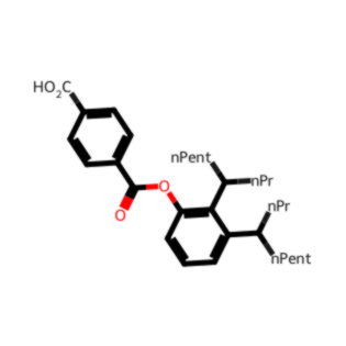 CCCCCC(CCC)c1cccc(OC(=O)c2ccc(C(=O)O)cc2)c1C(CCC)CCCCC